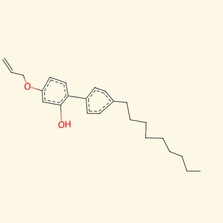 C=CCOc1ccc(-c2ccc(CCCCCCCCC)cc2)c(O)c1